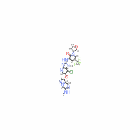 CNc1cn2ncc(Oc3cnc4nc(Nc5cc(C(F)(F)F)cn([C@H]6CCOC6)c5=O)n(C)c4c3Cl)c2cn1